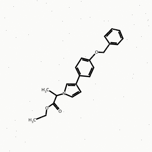 CCOC(=O)C(C)n1ccc(-c2ccc(OCc3ccccc3)cc2)c1